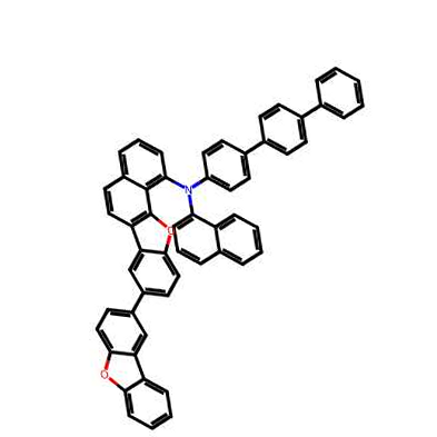 c1ccc(-c2ccc(-c3ccc(N(c4cccc5ccccc45)c4cccc5ccc6c7cc(-c8ccc9oc%10ccccc%10c9c8)ccc7oc6c45)cc3)cc2)cc1